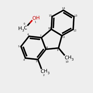 CO.Cc1cccc2c1C(C)c1ccccc1-2